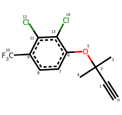 C#CC(C)(C)Oc1ccc(C(F)(F)F)c(Cl)c1Cl